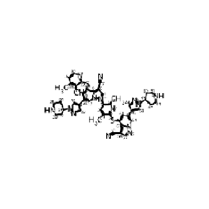 Cc1cc(-[n+]2cc(C#N)c3c(Sc4nccc(C)c4C)cc(-c4cnn(C5CCNCC5)c4)cn32)c(C)nc1Sc1cc(-c2cnn(C3CCNCC3)c2)cn2ncc(C#N)c12